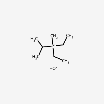 CC[P+](C)(CC)C(C)C.[OH-]